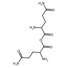 NC(=O)CCC(N)C(=O)OC(=O)C(N)CCC(N)=O